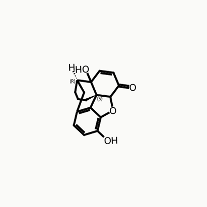 O=C1C=CC2(O)[C@@H]3CCC[C@@]24c2c(ccc(O)c2OC14)C3